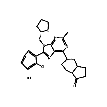 Cc1nc(N2CCN3C(=O)CCC3C2)c2nc(-c3ccccc3Cl)n(C[C@@H]3CCCO3)c2n1.Cl